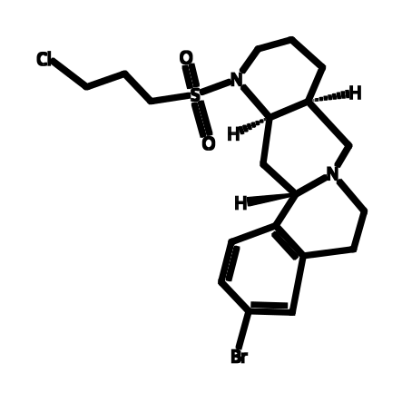 O=S(=O)(CCCCl)N1CCC[C@H]2CN3CCc4cc(Br)ccc4[C@@H]3C[C@H]21